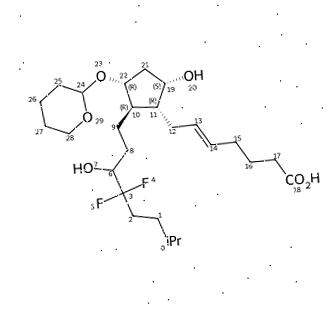 CC(C)CCC(F)(F)C(O)CC[C@@H]1[C@@H](CC=CCCCC(=O)O)[C@@H](O)C[C@H]1OC1CCCCO1